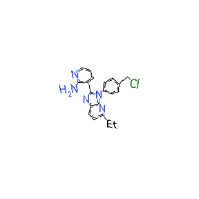 CCc1ccc2nc(-c3cccnc3N)n(-c3ccc(CCl)cc3)c2n1